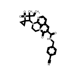 C=CC1(C)C(N2CCn3c(=O)c(C(=O)NCc4ccc(C#N)cc4)cc4ccnc2c43)C2(CC2)S1(=O)=O